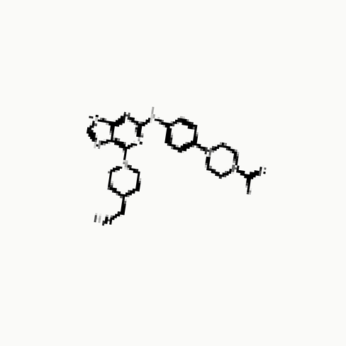 CC(=O)N1CCN(c2ccc(Nc3nc(N4CCC(CN)CC4)c4nc[nH]c4n3)cc2)CC1